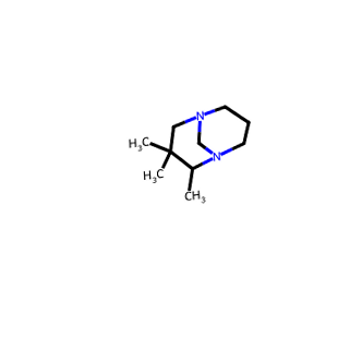 CC1N2CCCN(C2)CC1(C)C